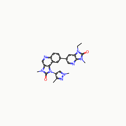 CCn1c(=O)n(C)c2ncc(-c3ccc4ncc5c(c4c3)n(-c3cn(C)nc3C)c(=O)n5C)cc21